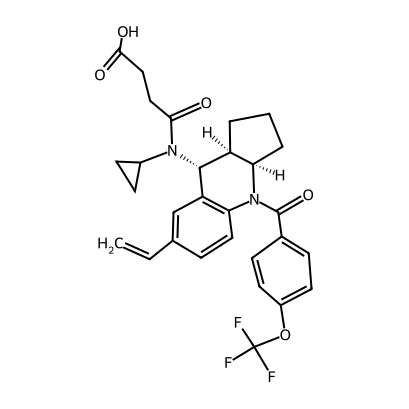 C=Cc1ccc2c(c1)[C@H](N(C(=O)CCC(=O)O)C1CC1)[C@H]1CCC[C@H]1N2C(=O)c1ccc(OC(F)(F)F)cc1